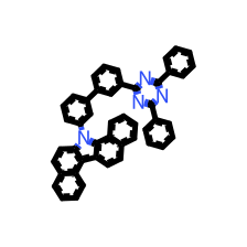 c1ccc(-c2nc(-c3ccccc3)nc(-c3cccc(-c4cccc(-n5c6ccc7ccccc7c6c6ccc7ccccc7c65)c4)c3)n2)cc1